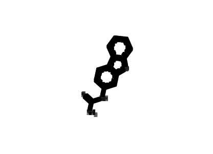 NC(=S)Nc1ccc2c(c1)oc1ccccc12